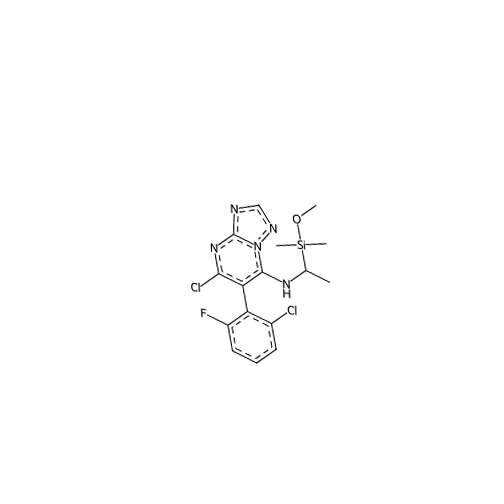 CO[Si](C)(C)C(C)Nc1c(-c2c(F)cccc2Cl)c(Cl)nc2ncnn12